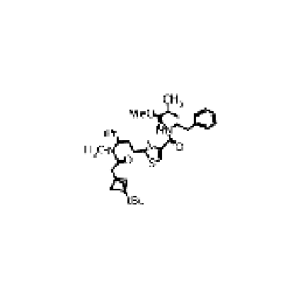 COC(=O)[C@@H](C)C[C@H](Cc1ccccc1)NC(=O)c1csc(CCC(C(C)C)N(C)C(=O)CC23CC(C(C)(C)C)(C2)C3)n1